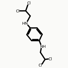 ClC(Cl)CNc1ccc(NCC(Cl)Cl)cc1